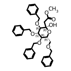 COC(=O)C[C@@]1(O)O[C@H](COCc2ccccc2)[C@@H](OCc2ccccc2)[C@H](OCc2ccccc2)[C@H]1OCc1ccccc1